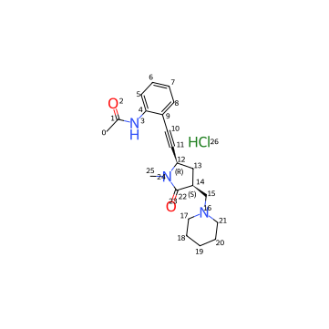 CC(=O)Nc1ccccc1C#C[C@H]1C[C@@H](CN2CCCCC2)C(=O)N1C.Cl